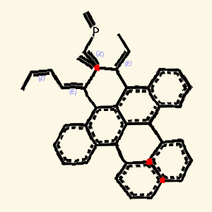 C=C/C(=C\C=C/C)c1c2ccccc2c(-c2ccccc2)c2c(-c3ccccc3)c3ccccc3c(C(/C=C\P=C)=C/C)c12